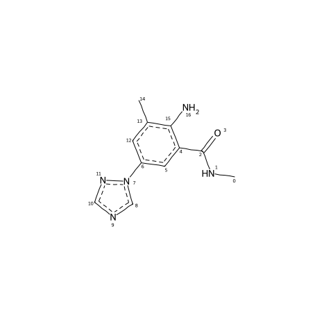 CNC(=O)c1cc(-n2cncn2)cc(C)c1N